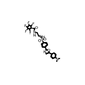 CN(C)c1ccc(-c2cnc(-c3ccc(S(=O)(=O)NCCNC(=O)c4c(F)c(F)c(F)c(F)c4F)cc3)o2)cc1